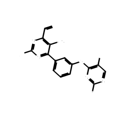 Cc1nc(C=S)c(C#N)c(-c2cccc(Nc3nc(Cl)ncc3F)c2)n1